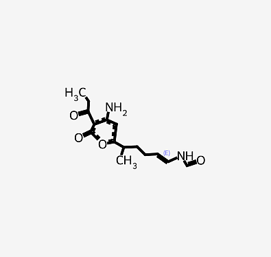 CCC(=O)c1c(N)cc(C(C)CC/C=C/NC=O)oc1=O